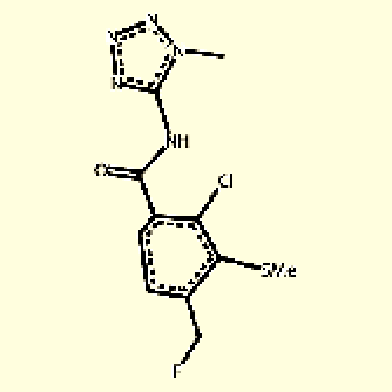 CSc1c(CF)ccc(C(=O)Nc2nnnn2C)c1Cl